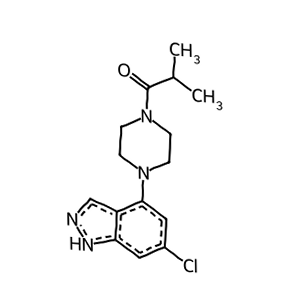 CC(C)C(=O)N1CCN(c2cc(Cl)cc3[nH]ncc23)CC1